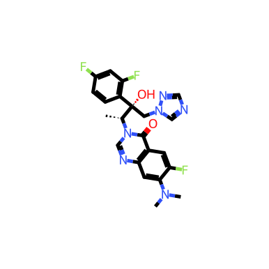 C[C@@H](n1cnc2cc(N(C)C)c(F)cc2c1=O)[C@](O)(Cn1cncn1)c1ccc(F)cc1F